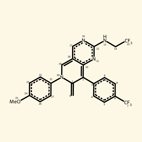 C=C1C(c2ccc(C(F)(F)F)cc2)=c2nc(NCC(F)(F)F)ncc2=CN1c1ccc(OC)cc1